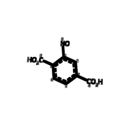 O=Nc1cc(C(=O)O)ccc1C(=O)O